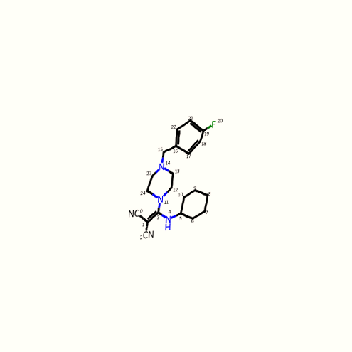 N#CC(C#N)=C(NC1CCCCC1)N1CCN(Cc2ccc(F)cc2)CC1